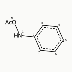 CC(=O)ONc1cc[c]cc1